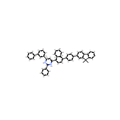 CC1(C)c2ccccc2-c2ccc(-c3ccc(-c4ccc(-c5cc(-c6cccc(-c7ccccc7)c6)nc(-c6ccccc6)n5)c5ccccc45)cc3)cc21